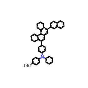 CC(C)(C)c1ccc(N(c2ccccc2)c2ccc(-c3cc4cc(-c5ccc6ccccc6c5)c5ccccc5c4c4ccccc34)cc2)cc1